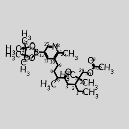 CCC(CC(=O)C(C)CCc1cc(B2OC(C)(C)C(C)(C)O2)cnc1C)C(C)(C)COC(C)=O